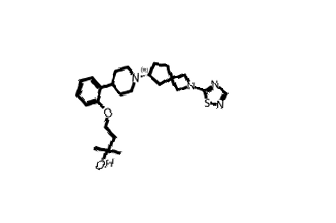 CC(C)(O)CCOc1ccccc1C1CCN([C@@H]2CCC3(C2)CN(c2ncns2)C3)CC1